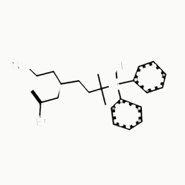 C=C(CC)C[C@@H](CCC#N)CCC(C)(C)[Si](O)(c1ccccc1)c1ccccc1